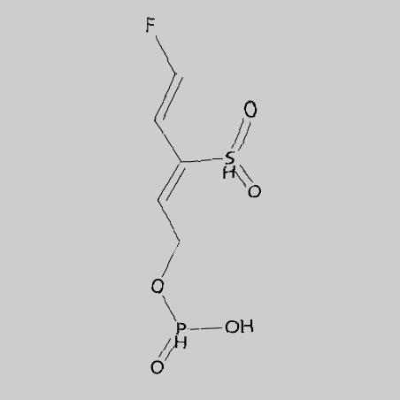 O=[PH](O)OCC=C(C=CF)[SH](=O)=O